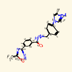 O=C(NCc1ccc(-n2ccnc2)cc1)c1cccc(-c2noc(C(F)(F)F)n2)c1